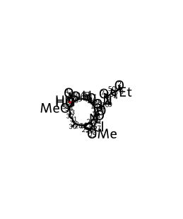 CCC(=O)C12CC1(C(=O)N1C[C@H]1C(=O)O[C@H]1CC(=O)N(C)c3cc(cc(OC)c3Cl)C/C(C)=C/C=C/[C@@H](OC)[C@@]3(O)CC(OC(=O)N3)[C@@H](C)[C@@H]3O[C@@]13C)C2